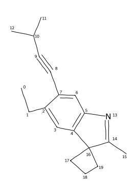 CCc1cc2c(cc1C#CC(C)C)N=C(C)C21CCC1